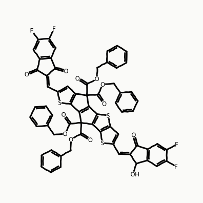 O=C1C(=Cc2cc3c(s2)C2=C(c4sc5cc(/C=C6\C(=O)c7cc(F)c(F)cc7C6O)sc5c4C2(C(=O)OCc2ccccc2)C(=O)OCc2ccccc2)C3(C(=O)OCc2ccccc2)C(=O)OCc2ccccc2)C(=O)c2cc(F)c(F)cc21